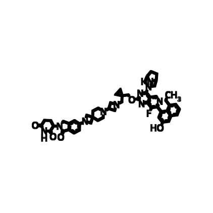 CCc1cccc2cc(O)cc(-c3ncc4c(N5CC6CCC(C5)N6)nc(OCC5(CN6CC(N7CCC8(CC7)CN(c7ccc9c(c7)CN(C7CCC(=O)NC7=O)C9=O)C8)C6)CC5)nc4c3F)c12